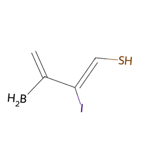 BC(=C)/C(I)=C/S